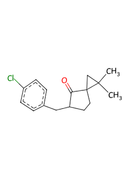 CC1(C)CC12CCC(Cc1ccc(Cl)cc1)C2=O